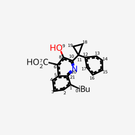 CCC(C)c1cccc2c(C(=O)O)c(O)c(C3(c4ccccc4)CC3)nc12